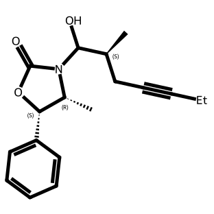 CCC#CC[C@H](C)C(O)N1C(=O)O[C@@H](c2ccccc2)[C@H]1C